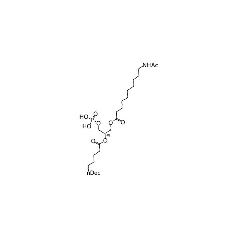 CCCCCCCCCCCCCCC(=O)O[C@H](COC(=O)CCCCCCCCCNC(C)=O)COP(=O)(O)O